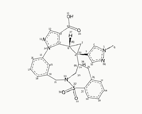 Cn1cc([C@]23C[C@H]2c2c(C(=O)O)cnn2-c2cccc(c2)CN2C[C@@H]3Cc3ccccc3S2(=O)=O)cn1